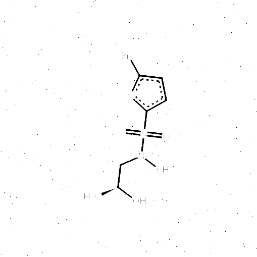 C[C@H](O)CN(C)S(=O)(=O)c1ccc(Br)s1